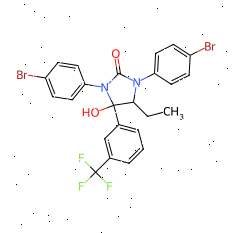 CCC1N(c2ccc(Br)cc2)C(=O)N(c2ccc(Br)cc2)C1(O)c1cccc(C(F)(F)F)c1